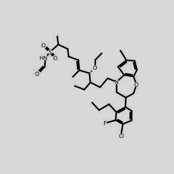 CCCc1c(C2COc3ccc(C)cc3N(CCC(CC)[C@@H](OCC)/C(C)=C/CCC(C)S(=O)(=O)NC=O)C2)ccc(Cl)c1F